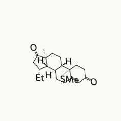 CC[C@@H]1CC(=O)[C@@]2(C)CC[C@H]3[C@@H](CCC4=CC(=O)CC[C@@]43CSC)[C@H]12